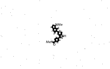 CNC(=O)c1ccc(-c2n[nH]c3cnc(-c4c(F)cc5c(c4F)C(NC)CC5)cc23)cc1